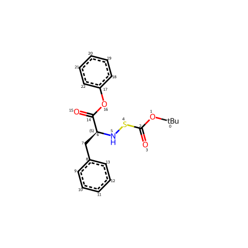 CC(C)(C)OC(=O)SN[C@@H](Cc1ccccc1)C(=O)Oc1ccccc1